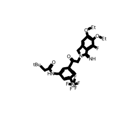 CCOc1cc2c(c(F)c1OCC)C(=N)N(CC(=O)c1cc(NC(=O)CC(C)(C)C)cc(S(F)(F)(F)(F)F)c1)C2